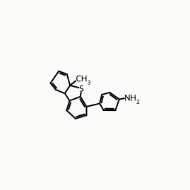 CC12C=CC=CC1c1cccc(-c3ccc(N)cc3)c1S2